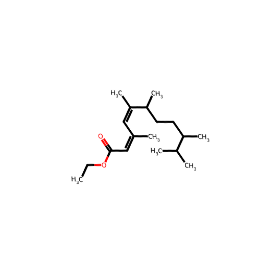 CCOC(=O)C=C(C)C=C(C)C(C)CCC(C)C(C)C